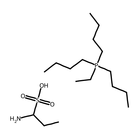 CCC(N)S(=O)(=O)O.CCCC[P](CC)(CCCC)CCCC